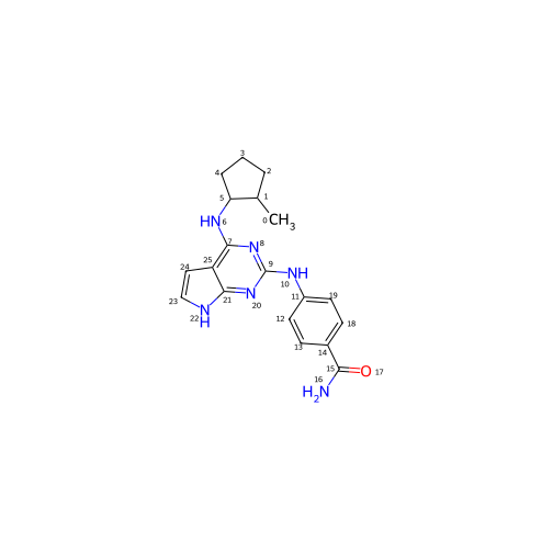 CC1CCCC1Nc1nc(Nc2ccc(C(N)=O)cc2)nc2[nH]ccc12